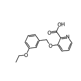 CCOc1cccc(COc2cccnc2C(=O)O)c1